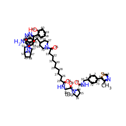 Cc1ncsc1-c1ccc(CNC(=O)[C@@H]2CCCN2C(=O)[C@@H](NC(=O)CCCCCCCCCC(=O)N2CCC(Cc3cccc(N4C5CCC4CN(c4cc(-c6ccccc6O)nnc4N)C5)c3)CC2)C(C)(C)C)cc1